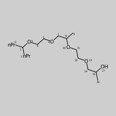 CCCC(CCC)OCCOCC(C)OCCOCC(C)O